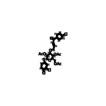 CC(=O)OC[C@H]1O[C@H](Sc2ccc(Cl)c(Cl)c2)[C@H](OC(C)=O)[C@@H](OCC#CC(=O)c2ccc(Cl)cc2)[C@H]1OC(C)=O